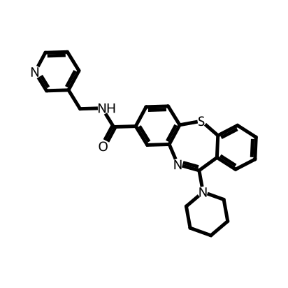 O=C(NCc1cccnc1)c1ccc2c(c1)N=C(N1CCCCC1)c1ccccc1S2